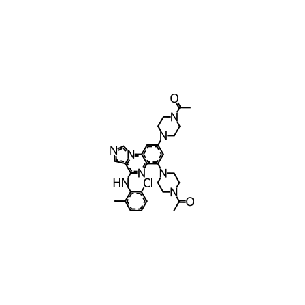 CC(=O)N1CCN(c2cc(N3CCN(C(C)=O)CC3)c3nc(Nc4c(C)cccc4Cl)c4cncn4c3c2)CC1